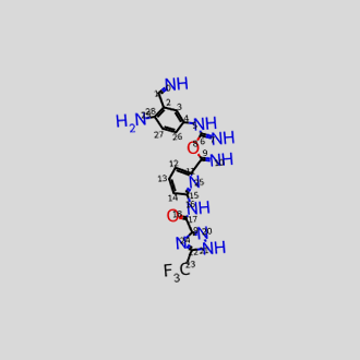 N=Cc1cc(NC(=N)OC(=N)c2cccc(NC(=O)c3n[nH]c(C(F)(F)F)n3)n2)ccc1N